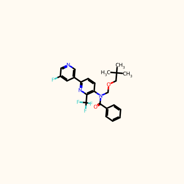 CC(C)(C)COCN(C(=O)c1ccccc1)c1ccc(-c2cncc(F)c2)nc1C(F)(F)F